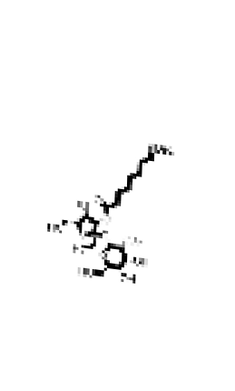 CCCCCCCCCCCCCCCCCC(=O)O[C@H]1[C@H](O)[C@@H](CO)O[C@@]1(CO)O[C@H]1O[C@H](CO)[C@@H](O)[C@H](O)[C@H]1OC(C)=O